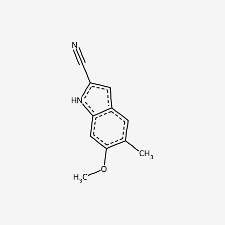 COc1cc2[nH]c(C#N)cc2cc1C